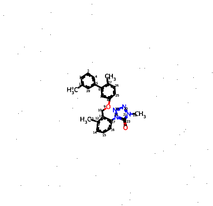 Cc1cccc(-c2cc(OCc3c(C)cccc3-n3nnn(C)c3=O)ccc2C)c1